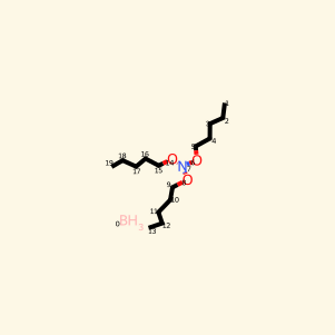 B.CCCCCON(OCCCCC)OCCCCC